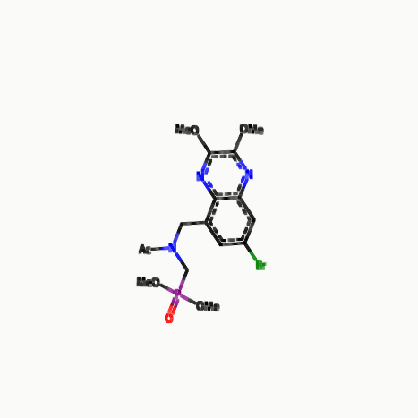 COc1nc2cc(Br)cc(CN(CP(=O)(OC)OC)C(C)=O)c2nc1OC